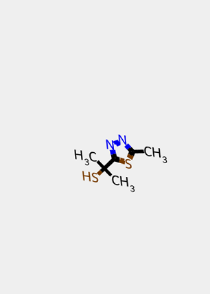 Cc1nnc(C(C)(C)S)s1